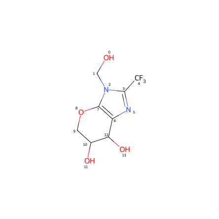 OCn1c(C(F)(F)F)nc2c1OCC(O)C2O